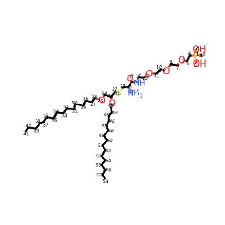 C=P(O)(O)CCOCCOCCOCCNC(=O)[C@@H](N)CSCC(COCCCCCCCCCCCCCCCC)OCCCCCCCCCCCCCCCC